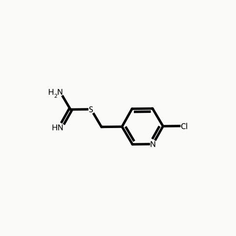 N=C(N)SCc1ccc(Cl)nc1